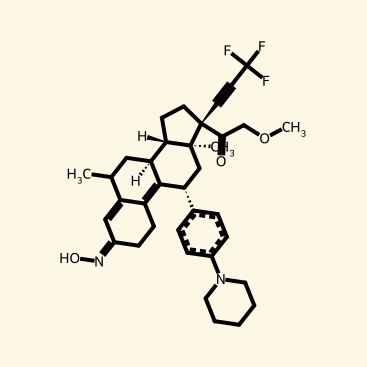 COCC(=O)[C@@]1(C#CC(F)(F)F)CC[C@H]2[C@@H]3CC(C)C4=CC(=NO)CCC4=C3[C@@H](c3ccc(N4CCCCC4)cc3)C[C@@]21C